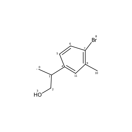 [CH2]C(CO)c1ccc(Br)c(C)c1